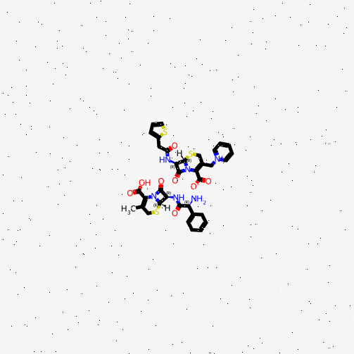 CC1=C(C(=O)O)N2C(=O)[C@@H](NC(=O)[C@H](N)C3=CCC=CC3)[C@H]2SC1.O=C(Cc1cccs1)N[C@@H]1C(=O)N2C(C(=O)[O-])=C(C[n+]3ccccc3)CS[C@H]12